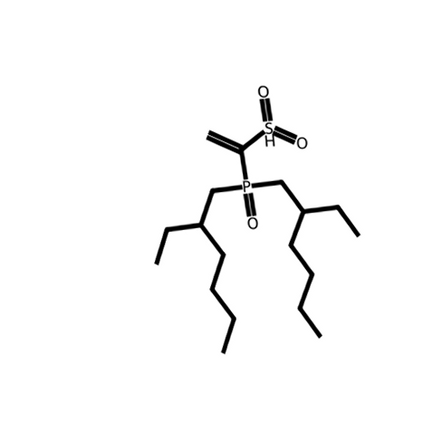 C=C([SH](=O)=O)P(=O)(CC(CC)CCCC)CC(CC)CCCC